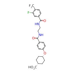 O=C(NCCNC(=O)c1ccc(C(F)(F)F)c(F)c1)c1ccc(O[C@H]2CC[C@@H](C(=O)O)CC2)cc1